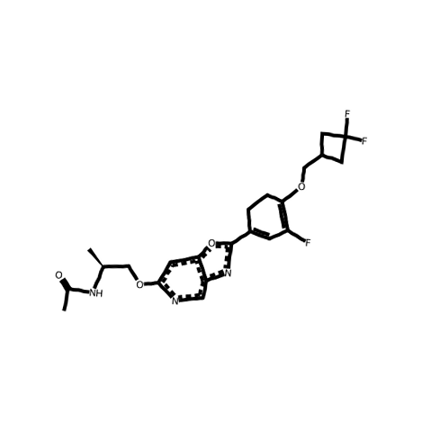 CC(=O)N[C@@H](C)COc1cc2oc(C3=CC(F)=C(OCC4CC(F)(F)C4)CC3)nc2cn1